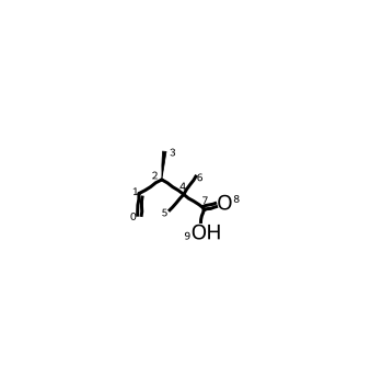 C=C[C@@H](C)C(C)(C)C(=O)O